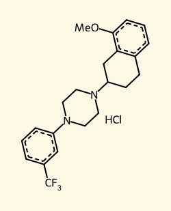 COc1cccc2c1CC(N1CCN(c3cccc(C(F)(F)F)c3)CC1)CC2.Cl